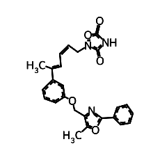 C/C(=C\C=C/Cn1oc(=O)[nH]c1=O)c1cccc(OCc2nc(-c3ccccc3)oc2C)c1